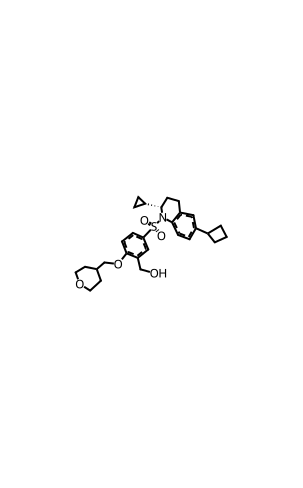 O=S(=O)(c1ccc(OCC2CCOCC2)c(CO)c1)N1c2ccc(C3CCC3)cc2CC[C@H]1C1CC1